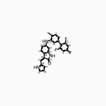 Cc1ccc(-c2c(F)[c]c(F)cc2F)cc1Nc1ccc2c(c1)NC(=O)C2=Cc1ccc[nH]1